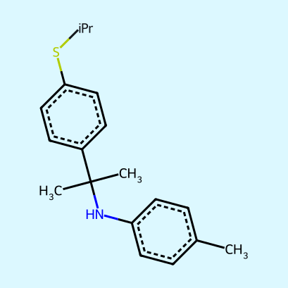 Cc1ccc(NC(C)(C)c2ccc(SC(C)C)cc2)cc1